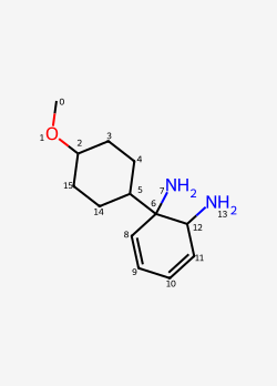 COC1CCC(C2(N)C=CC=CC2N)CC1